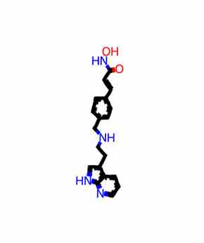 O=C(/C=C/c1ccc(CNCCc2c[nH]c3ncccc23)cc1)NO